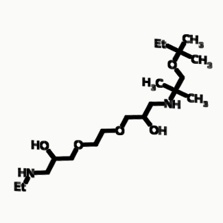 CCNCC(O)COCCOCC(O)CNC(C)(C)COC(C)(C)CC